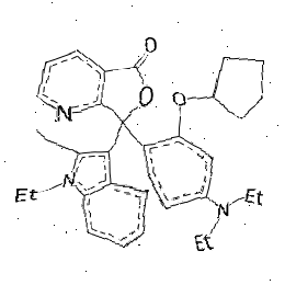 CCN(CC)c1ccc(C2(c3c(C)n(CC)c4ccccc34)OC(=O)c3cccnc32)c(OC2CCCC2)c1